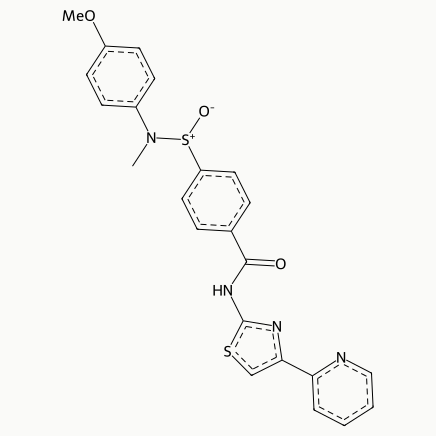 COc1ccc(N(C)[S+]([O-])c2ccc(C(=O)Nc3nc(-c4ccccn4)cs3)cc2)cc1